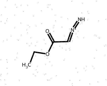 CCOC(=O)C=[N+]=N